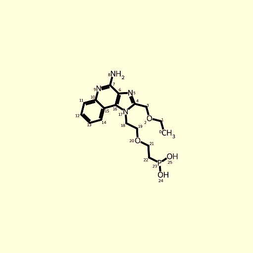 CCOCc1nc2c(N)nc3ccccc3c2n1CCOCCP(O)O